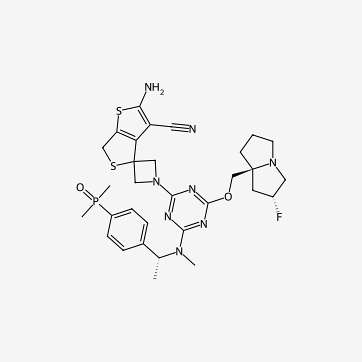 C[C@H](c1ccc(P(C)(C)=O)cc1)N(C)c1nc(OC[C@@]23CCCN2C[C@H](F)C3)nc(N2CC3(C2)SCc2sc(N)c(C#N)c23)n1